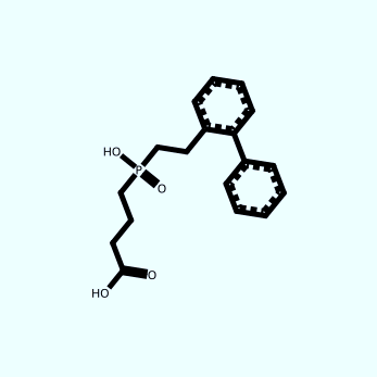 O=C(O)CCCP(=O)(O)CCc1ccccc1-c1ccccc1